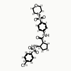 O=C(Nc1ccc(S(=O)(=O)N2CCOCC2)cc1)C1CCCC1NS(=O)(=O)c1ccc(Cl)cc1